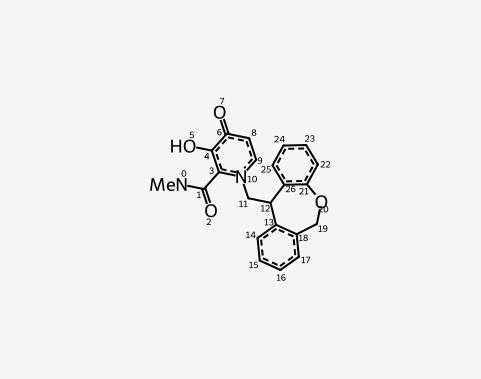 CNC(=O)c1c(O)c(=O)ccn1CC1c2ccccc2COc2ccccc21